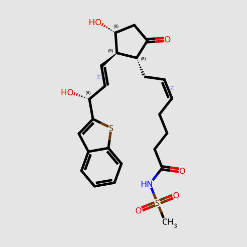 CS(=O)(=O)NC(=O)CCC/C=C\C[C@H]1C(=O)C[C@@H](O)[C@@H]1/C=C/[C@@H](O)c1cc2ccccc2s1